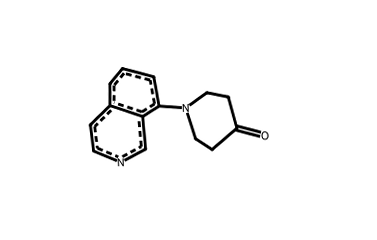 O=C1CCN(c2cccc3ccncc23)CC1